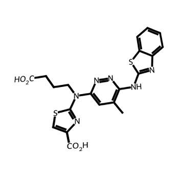 Cc1cc(N(CCCC(=O)O)c2nc(C(=O)O)cs2)nnc1Nc1nc2ccccc2s1